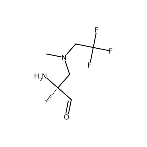 CN(CC(F)(F)F)C[C@](C)(N)C=O